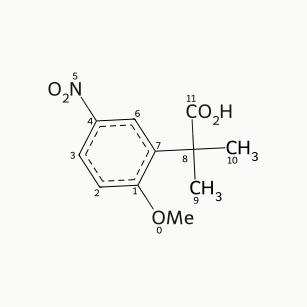 COc1ccc([N+](=O)[O-])cc1C(C)(C)C(=O)O